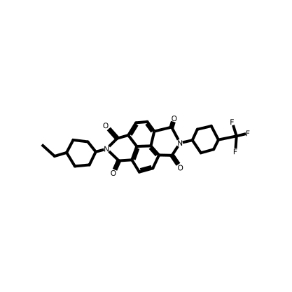 CCC1CCC(N2C(=O)c3ccc4c5c(ccc(c35)C2=O)C(=O)N(C2CCC(C(F)(F)F)CC2)C4=O)CC1